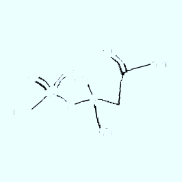 CCCCS(CCCC)(CC(=O)CCC)OS(=O)(=O)C(F)(F)F